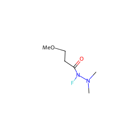 COCCC(=O)N(F)N(C)C